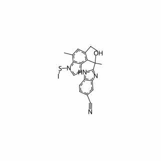 CCc1cc(C)c2c(ccn2SI)c1C(C)(O)c1nc2cc(C#N)ccc2[nH]1